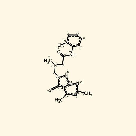 Cc1cc(C)n2c(=S)n(CN(C)CC(=O)Nc3ccccc3Cl)nc2n1